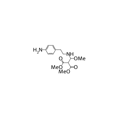 COC(=O)C(C(=O)OC)C(NCCc1ccc(N)cc1)OC